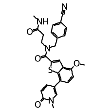 CNC(=O)CCN(Cc1ccc(C#N)cc1)C(=O)c1cc2c(OC)ccc(-c3ccc(=O)n(C)c3)c2s1